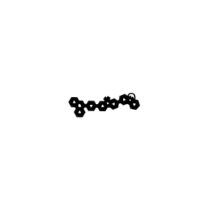 CC1(C)c2cc(-c3ccc(-c4cc5ccccc5c5ccccc45)cc3)ccc2-c2ccc(-c3ccc4oc5ccccc5c4c3)cc21